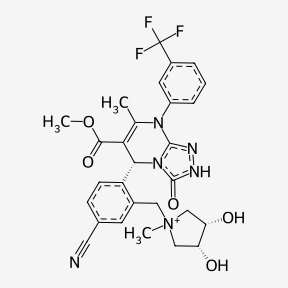 COC(=O)C1=C(C)N(c2cccc(C(F)(F)F)c2)c2n[nH]c(=O)n2[C@@H]1c1ccc(C#N)cc1C[N+]1(C)C[C@@H](O)[C@@H](O)C1